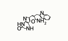 Cn1c(CC(=Cc2cnc3c(c2)CNCC(=O)N3)C(N)=O)cc2ccccc21